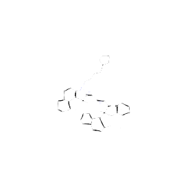 C=C(/C=C/C=C1/N(CCCCC2CCCC2)c2ccc3ccccc3c2C1(C)C)C(C)(Cc1ccccc1)c1c(C)ccc2ccccc12